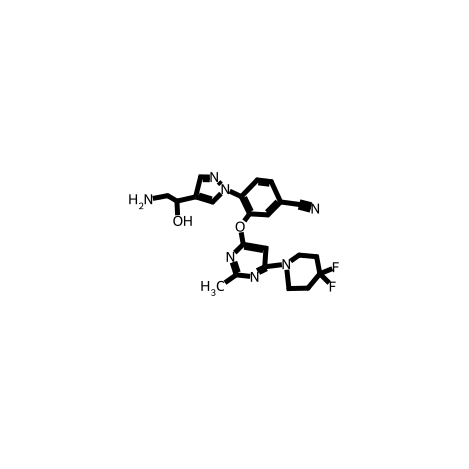 Cc1nc(Oc2cc(C#N)ccc2-n2cc(C(O)CN)cn2)cc(N2CCC(F)(F)CC2)n1